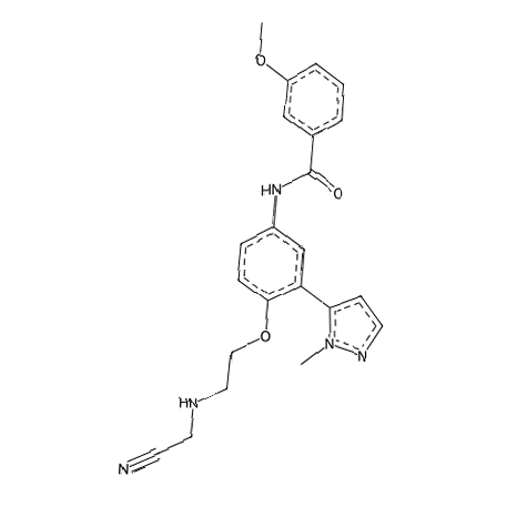 COc1cccc(C(=O)Nc2ccc(OCCNCC#N)c(-c3ccnn3C)c2)c1